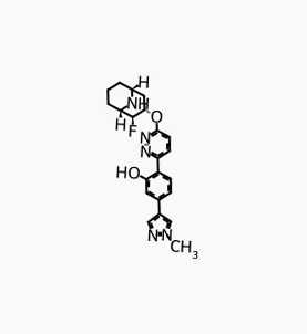 Cn1cc(-c2ccc(-c3ccc(O[C@H]4C[C@H]5CCC[C@H](N5)[C@@H]4F)nn3)c(O)c2)cn1